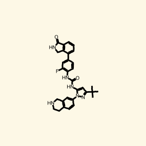 CC(C)(C)c1cc(NC(=O)Nc2ccc(-c3cccc4c3CNC4=O)cc2F)n(-c2ccc3c(c2)CNCC3)n1